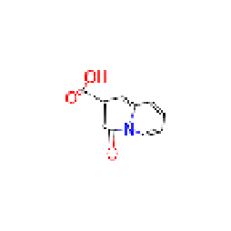 O=C(O)c1cc(=O)n2ccccc2c1